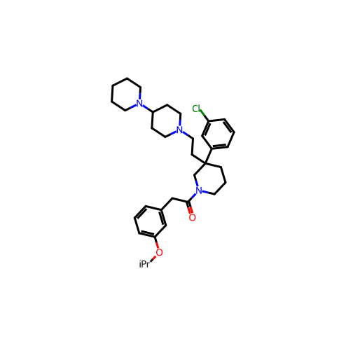 CC(C)Oc1cccc(CC(=O)N2CCCC(CCN3CCC(N4CCCCC4)CC3)(c3cccc(Cl)c3)C2)c1